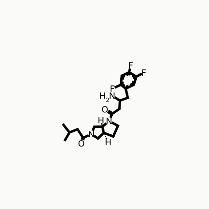 CC(C)CC(=O)N1C[C@@H]2CCN(C(=O)CC(N)Cc3cc(F)c(F)cc3F)[C@@H]2C1